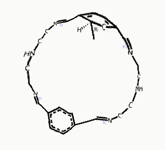 C[C@@H]1CC2=CC=C1/C=N/CCNCC/N=C/c1ccc(cc1)/C=N/CCNCC/N=C/2